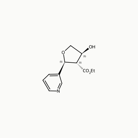 CCOC(=O)[C@H]1[C@H](O)CO[C@@H]1c1cccnc1